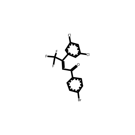 O=C(/C=C(\c1cc(Cl)cc(Cl)c1)C(F)(F)F)c1ccc(Br)cc1